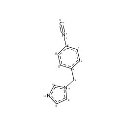 [C-]#[N+]c1ccc(Cn2ccnc2)cc1